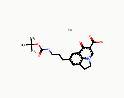 CC(C)(C)OC(=O)NCCCc1cc2c3c(c1)c(=O)c(C(=O)O)cn3CC2.[Na]